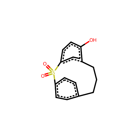 O=S1(=O)c2ccc(cc2)CCCc2cc1ccc2O